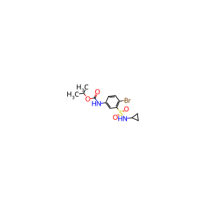 CC(C)OC(=O)Nc1ccc(Br)c(S(=O)(=O)NC2CC2)c1